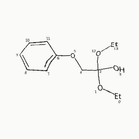 CCOC(O)(COc1ccccc1)OCC